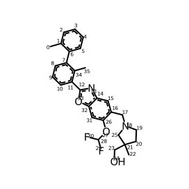 Cc1ccccc1-c1cccc(-c2nc3cc(CN4CCC(C)(CO)C4)c(OC(F)F)cc3o2)c1C